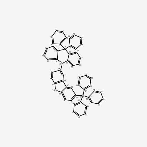 c1ccc(C2(c3ccccc3)c3ccccc3N(c3ccc4oc5ccc(S(c6ccccc6)(c6ccccc6)c6ccccc6)cc5c4c3)c3ccccc32)cc1